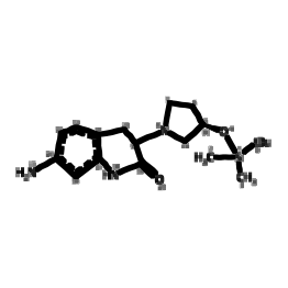 CC(C)(C)[Si](C)(C)O[C@@H]1CCN(C2Cc3ccc(N)cc3NC2=O)C1